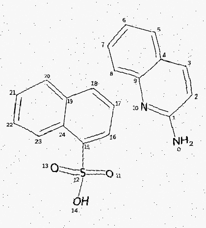 Nc1ccc2ccccc2n1.O=S(=O)(O)c1cccc2ccccc12